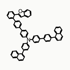 c1ccc(-c2cc3ccccc3o2)c(-c2ccc(-c3ccc(N(c4ccc(-c5ccc(-c6cccc7ccccc67)cc5)cc4)c4ccc(-c5cccc6ccccc56)cc4)cc3)cc2)c1